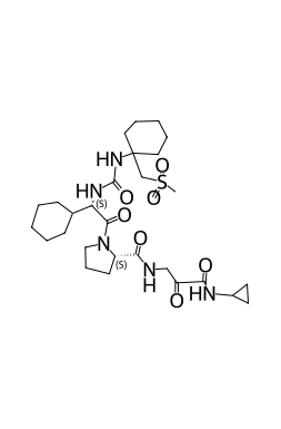 CS(=O)(=O)CC1(NC(=O)N[C@H](C(=O)N2CCC[C@H]2C(=O)NCC(=O)C(=O)NC2CC2)C2CCCCC2)CCCCC1